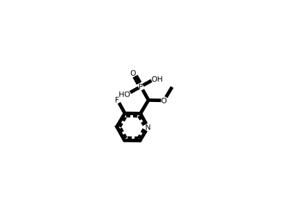 COC(c1ncc[c]c1F)P(=O)(O)O